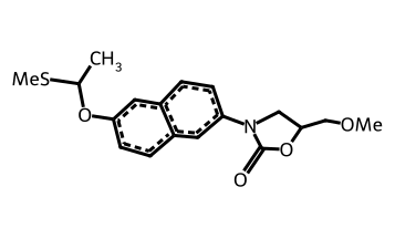 COCC1CN(c2ccc3cc(OC(C)SC)ccc3c2)C(=O)O1